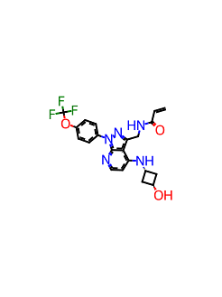 C=CC(=O)NCc1nn(-c2ccc(OC(F)(F)F)cc2)c2nccc(N[C@H]3C[C@H](O)C3)c12